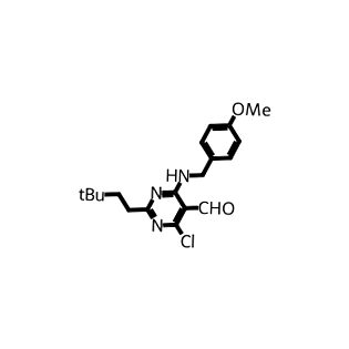 COc1ccc(CNc2nc(CCC(C)(C)C)nc(Cl)c2C=O)cc1